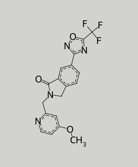 COc1ccnc(CN2Cc3ccc(-c4noc(C(F)(F)F)n4)cc3C2=O)c1